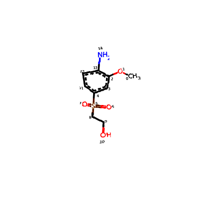 COc1cc(S(=O)(=O)CCO)ccc1N